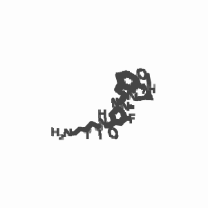 Cn1c(-c2cc3ccc4c(c3n2CC2CC2)NCCO4)nc2cc(C(=O)N[C@H](I)C[C@H](I)CCN)cc(F)c21